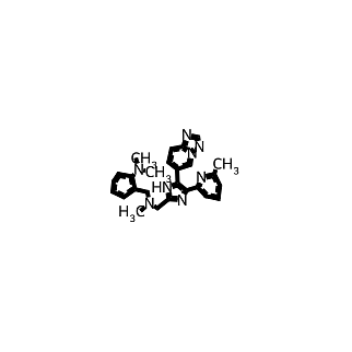 Cc1cccc(-c2nc(CN(C)Cc3ccccc3N(C)C)[nH]c2-c2ccc3ncnn3c2)n1